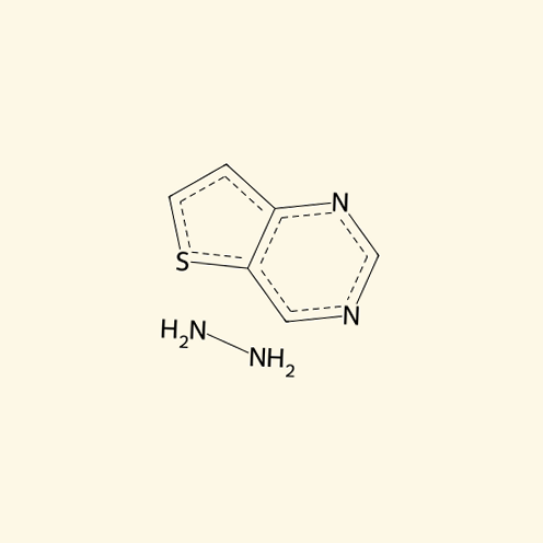 NN.c1ncc2sccc2n1